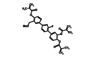 C=C(C)C(=O)Oc1ccc(-c2ccc(-c3ccc(OC(=O)C(=C)C)c(OC(=O)C(=C)C)c3)c(F)c2)cc1COC